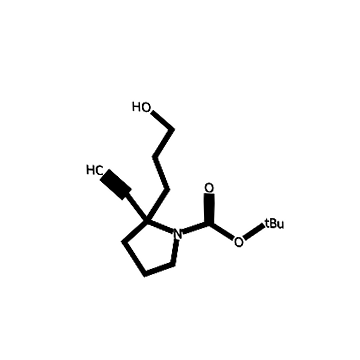 C#CC1(CCCO)CCCN1C(=O)OC(C)(C)C